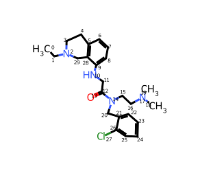 CCN1CCc2cccc(NCC(=O)N(CCN(C)C)Cc3ccccc3Cl)c2C1